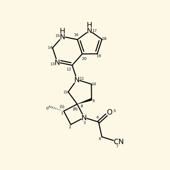 C[C@H]1CN(C(=O)CC#N)[C@]12CCN(C1=NCNc3[nH]ccc31)C2